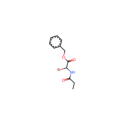 CCC(=O)NC(Br)C(=O)OCc1ccccc1